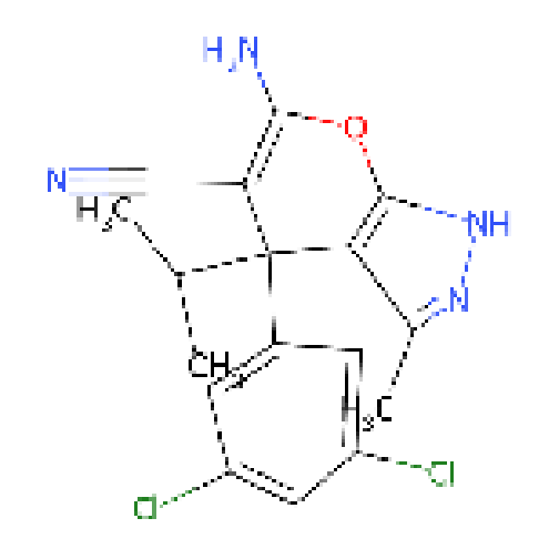 Cc1n[nH]c2c1C(c1cc(Cl)cc(Cl)c1)(C(C)C)C(C#N)=C(N)O2